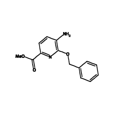 COC(=O)c1ccc(N)c(OCc2ccccc2)n1